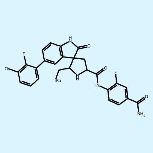 CC(C)(C)CC1NC(C(=O)Nc2ccc(C(N)=O)cc2F)CC12C(=O)Nc1ccc(-c3cccc(Cl)c3F)cc12